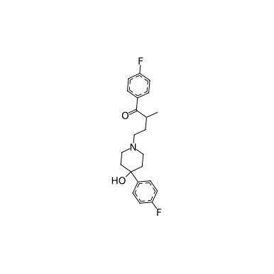 CC(CCN1CCC(O)(c2ccc(F)cc2)CC1)C(=O)c1ccc(F)cc1